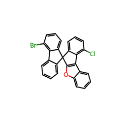 Clc1cccc2c1-c1c(oc3ccccc13)C21c2ccccc2-c2c(Br)cccc21